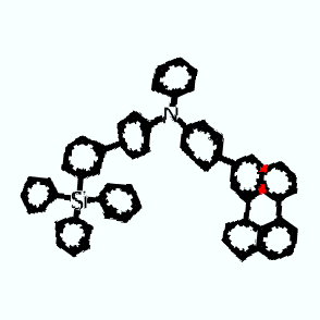 c1ccc(-c2cccc3cccc(-c4cccc(-c5ccc(N(c6ccccc6)c6ccc(-c7cccc([Si](c8ccccc8)(c8ccccc8)c8ccccc8)c7)cc6)cc5)c4)c23)cc1